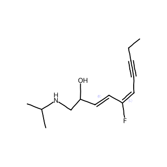 CCC#C/C=C(F)\C=C\C(O)CNC(C)C